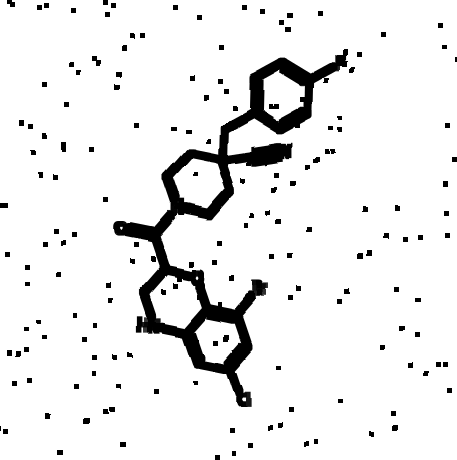 N#CC1(Cc2ccc(F)cc2)CCN(C(=O)C2CNc3cc(Cl)cc(Br)c3O2)CC1